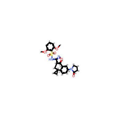 COc1cccc(OC)c1S(=O)(=O)Nc1noc2c1CC1(CC1)c1ccc(N3CCCC3=O)cc1-2